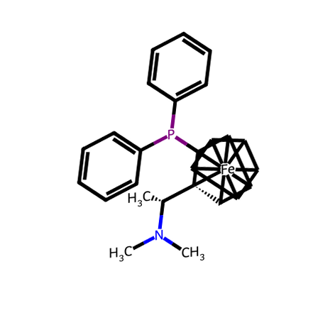 C[C@@H](N(C)C)[C@@]12[CH]3[CH]4[CH]5[C]1(P(c1ccccc1)c1ccccc1)[Fe]45321678[CH]2[CH]1[CH]6[CH]7[CH]28